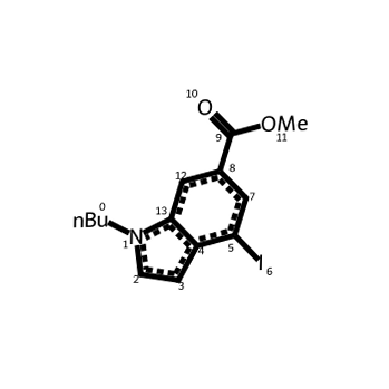 CCCCn1ccc2c(I)cc(C(=O)OC)cc21